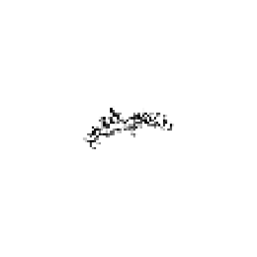 CCN1CCN(c2ccc(Nc3cc(-c4cc(F)cc(N5CCc6c(sc7c6CC(C)(C)C7)C5=O)c4CO)cn(C)c3=O)nc2)CC1